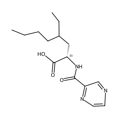 CCCCC(CC)C[C@H](NC(=O)c1cnccn1)C(=O)O